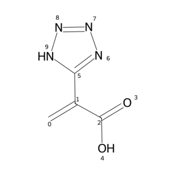 C=C(C(=O)O)c1nnn[nH]1